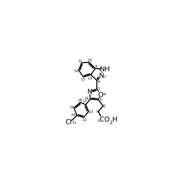 O=C(O)CCc1oc(-c2n[nH]c3ccccc23)nc1-c1ccc(Cl)cc1